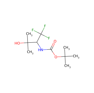 CC(C)(C)OC(=O)NC(C(C)(C)O)C(F)(F)F